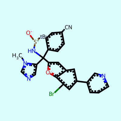 Cn1cncc1C(N[S+]([O-])C(C)(C)C)(c1ccc(C#N)cc1)c1cc2cc(-c3cccnc3)cc(Br)c2o1